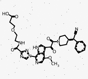 COc1cnc(-n2cnc(C(=O)NCCOCCC(=O)O)n2)c2[nH]cc(C(=O)C(=O)N3CCC(=C(C#N)c4ccccc4)CC3)c12